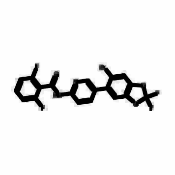 O=C(Nc1ccc(-c2cc3c(cc2Br)OC(F)(F)O3)cn1)c1c(F)cccc1F